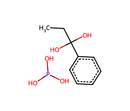 CCC(O)(O)c1ccccc1.OP(O)O